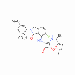 CCC(Nc1c(Nc2c(F)ccc3c2C(=O)N(c2cc(OC)ccc2C(=O)O)C3)c(=O)c1=O)c1ccc(C)o1